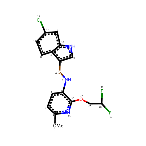 COc1ccc(NSc2c[nH]c3cc(Cl)ccc23)c(OCC(F)F)n1